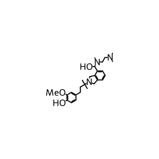 COc1cc(CCC(C)(C)N2Cc3cccc(C(O)N(C)CCN(C)C)c3C2)ccc1O